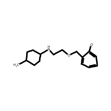 CC1CCC(NCCOCc2ccccc2Cl)CC1